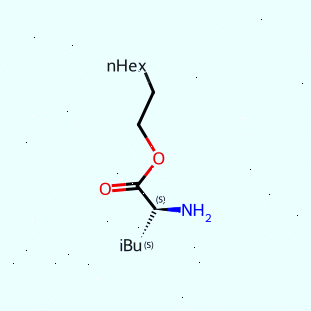 CCCCCCCCOC(=O)[C@@H](N)[C@@H](C)CC